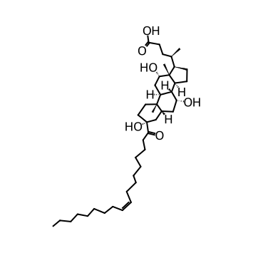 CCCCCCCC/C=C\CCCCCCCC(=O)[C@@]1(O)CC[C@@]2(C)[C@H](C[C@@H](O)[C@@H]3[C@@H]2C[C@H](O)[C@]2(C)[C@@H]([C@H](C)CCC(=O)O)CC[C@@H]32)C1